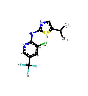 CC(C)c1cnc(Nc2ncc(C(F)(F)F)cc2Cl)s1